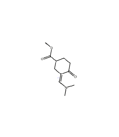 COC(=O)C1CCC(=O)/C(=C\N(C)C)C1